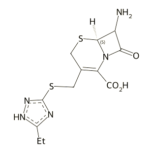 CCc1nc(SCC2=C(C(=O)O)N3C(=O)C(N)[C@@H]3SC2)n[nH]1